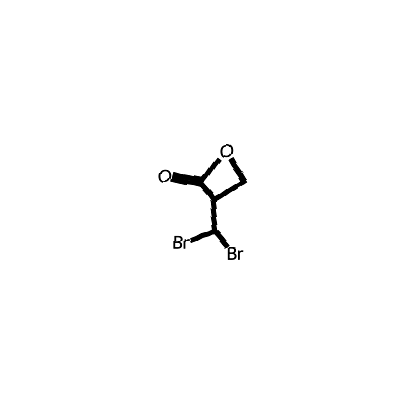 O=C1OCC1C(Br)Br